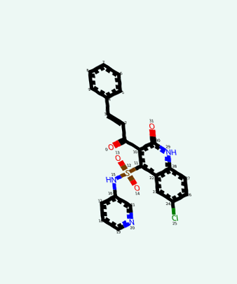 O=C(C=Cc1ccccc1)c1c(S(=O)(=O)Nc2cccnc2)c2cc(Cl)ccc2[nH]c1=O